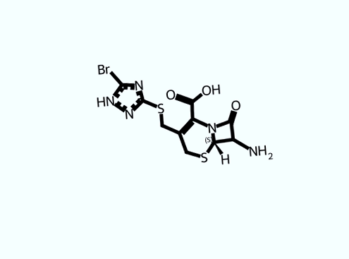 NC1C(=O)N2C(C(=O)O)=C(CSc3n[nH]c(Br)n3)CS[C@@H]12